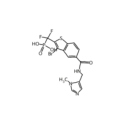 Cn1cncc1CNC(=O)c1ccc2sc(C(F)(F)P(=O)(O)O)c(Br)c2c1